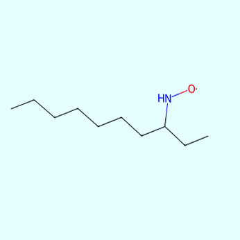 CCCCCCCC(CC)N[O]